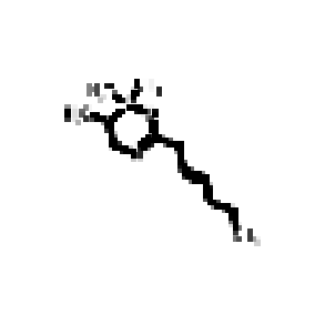 CCCC=CCC1=NCC(C)[Si](C)(C)O1